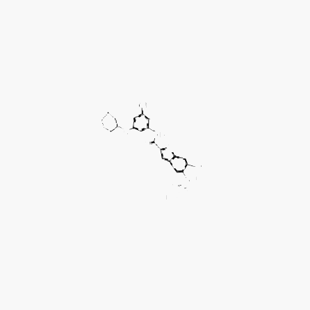 CS(=O)(=O)Nc1cc2cc(C(=O)Nc3cc(Cl)cc(OC4CCCCC4)c3)sc2cc1Cl